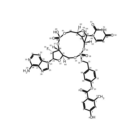 Cc1cc(O)ccc1C(=O)Oc1ccc(CS[P@@]2(=O)OC[C@H]3O[C@@H](n4cnc5c(N)ncnc54)[C@H](F)[C@@H]3OP(=O)(O)OC[C@H]3O[C@@H](n4ccc(=O)[nH]c4=O)[C@H](O2)[C@@H]3F)cc1